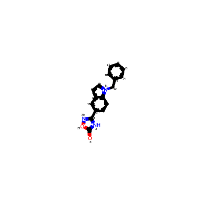 O=c1[nH]c(-c2ccc3c(ccn3Cc3ccccc3)c2)no1